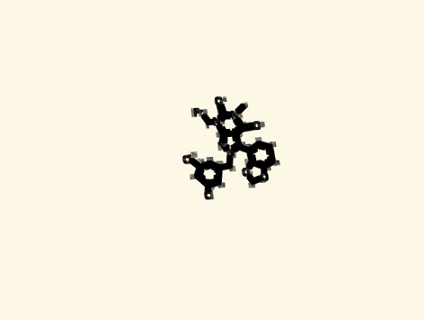 CC(C)Cn1c(=O)n(C)c(=O)c2c(-c3cccc4c3OCO4)n(Cc3cc(Cl)cc(Cl)c3)nc21